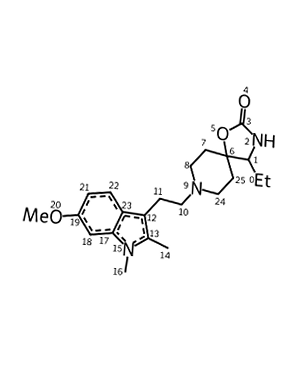 CCC1NC(=O)OC12CCN(CCc1c(C)n(C)c3cc(OC)ccc13)CC2